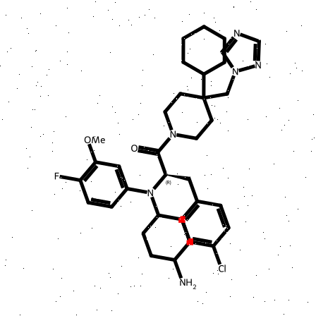 COc1cc(N(C2CCC(N)CC2)[C@H](Cc2ccc(Cl)cc2)C(=O)N2CCC(Cn3cncn3)(C3CCCCC3)CC2)ccc1F